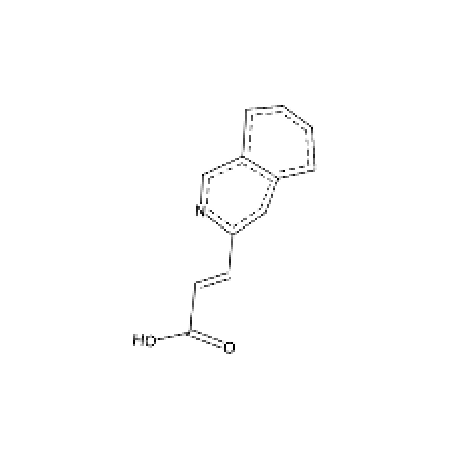 O=C(O)C=Cc1cc2ccccc2cn1